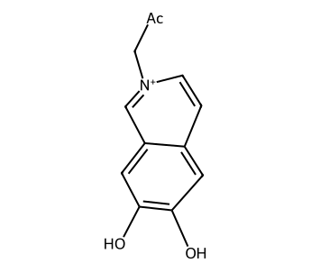 CC(=O)C[n+]1ccc2cc(O)c(O)cc2c1